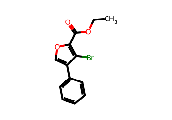 CCOC(=O)c1occ(-c2ccccc2)c1Br